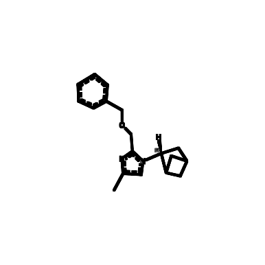 Cc1cn([C@@H]2CC3CC2C3)c(COCc2ccccc2)n1